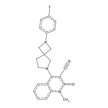 Cn1c(=O)c(C#N)c(N2CCC3(CN(c4ccc(F)cc4)C3)C2)c2ccccc21